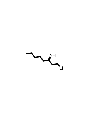 CCCCCC(=N)CCCl